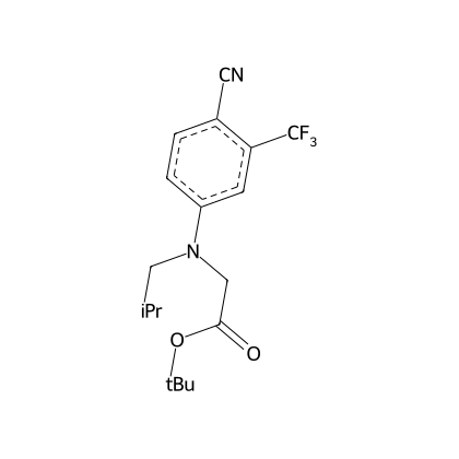 CC(C)CN(CC(=O)OC(C)(C)C)c1ccc(C#N)c(C(F)(F)F)c1